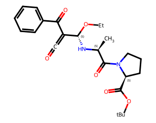 CCO[C@H](N[C@@H](C)C(=O)N1CCC[C@H]1C(=O)OC(C)(C)C)C(=C=O)C(=O)c1ccccc1